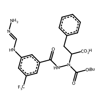 CC(C)COC(=O)N(NC(=O)c1cc(NC=NN)cc(C(F)(F)F)c1)C(Cc1ccccc1)C(=O)O